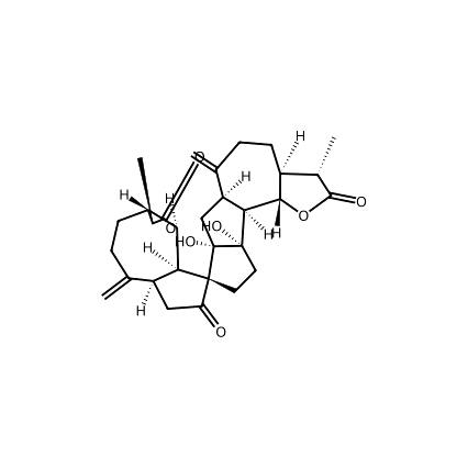 C=C1CC[C@@H]2[C@H](OC(=O)[C@H]2C)[C@@H]2[C@H]1C[C@@]1(O)[C@]2(O)CC[C@]12C(=O)C[C@H]1C(=C)CC[C@@H]3[C@H](OC(=O)[C@H]3C)[C@H]12